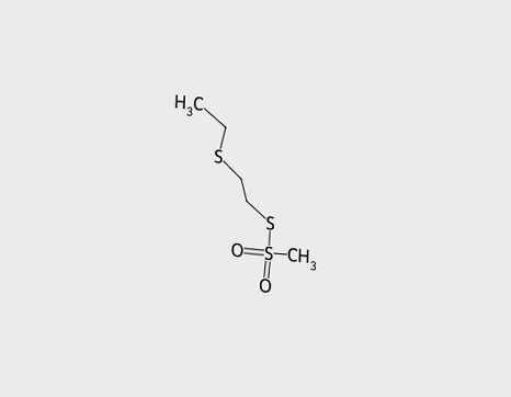 CCSCCSS(C)(=O)=O